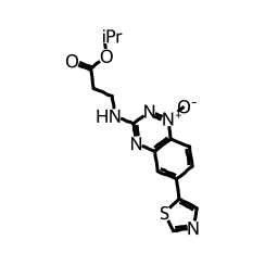 CC(C)OC(=O)CCNc1nc2cc(-c3cncs3)ccc2[n+]([O-])n1